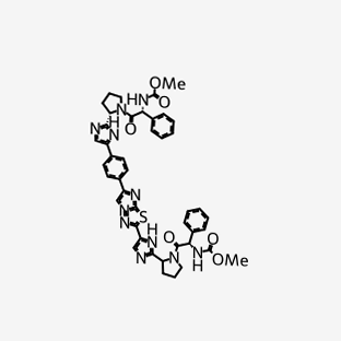 COC(=O)N[C@@H](C(=O)N1CCCC1c1ncc(-c2nn3cc(-c4ccc(-c5cnc([C@@H]6CCCN6C(=O)[C@H](NC(=O)OC)c6ccccc6)[nH]5)cc4)nc3s2)[nH]1)c1ccccc1